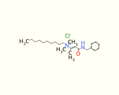 CCCCCCCCCC[N+](C)(C)/C(C)=C/C(=O)NCc1ccccc1.[Cl-]